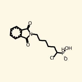 O=C1c2ccccc2C(=O)N1CCCCCC(Cl)[PH](=O)O